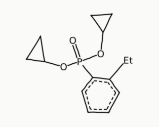 CCc1ccccc1P(=O)(OC1CC1)OC1CC1